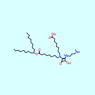 CCCCCCCCC(CCCCCCCC)OC(=O)CCCCCCCN(CCCCCCCC(=O)O)C1=C(NCCCN(C)C)C(O)C1=O